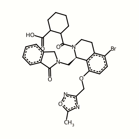 Cc1nc(COc2ccc(Br)c3c2[C@@H](CN2Cc4ccccc4C2=O)N(C(=O)C2CCCCC2C(=O)O)CC3)no1